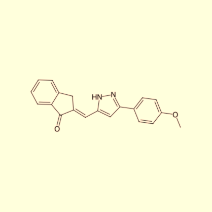 COc1ccc(-c2cc(/C=C3\Cc4ccccc4C3=O)[nH]n2)cc1